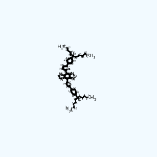 CCCCCC(F)(CCCCC)c1ccc(-c2ccc(-c3c4c(c(-c5ccc(-c6ccc(C(F)(CCCCC)CCCCC)cc6)s5)c5nsnc35)N=S=N4)s2)cc1